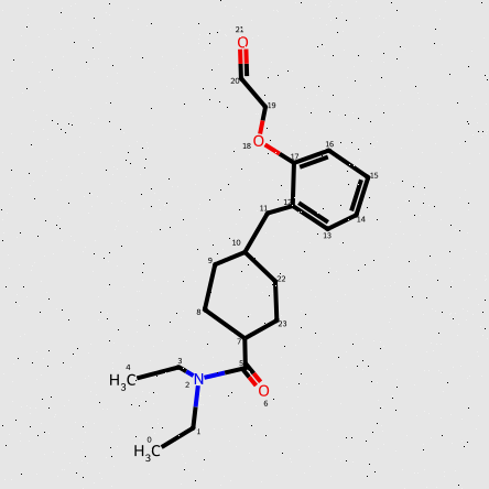 CCN(CC)C(=O)C1CCC(Cc2ccccc2OCC=O)CC1